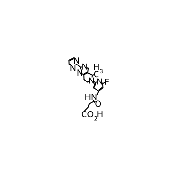 CC1c2cnc(-c3ncccn3)nc2CCN1c1cc(CNC(=O)CCCC(=O)O)cc(F)n1